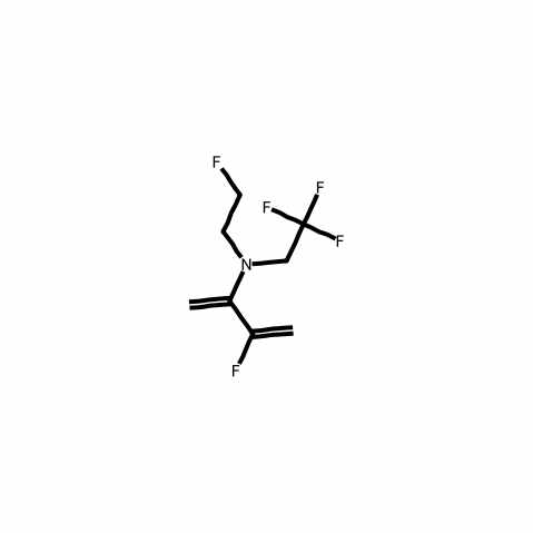 C=C(F)C(=C)N(CCF)CC(F)(F)F